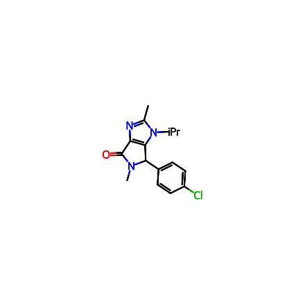 Cc1nc2c(n1C(C)C)C(c1ccc(Cl)cc1)N(C)C2=O